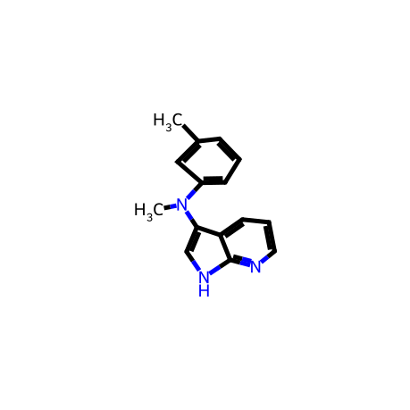 Cc1cccc(N(C)c2c[nH]c3ncccc23)c1